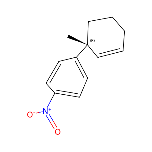 C[C@]1(c2ccc([N+](=O)[O-])cc2)C=CCCC1